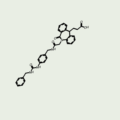 O=C(O)CCC1c2ccccc2C(=O)N(CC(=O)NCc2ccc(NC(=O)NCc3ccccc3)cc2)c2ccccc21